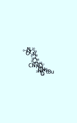 Cc1nc2c(o1)CN(Cc1ccc(C#N)c(-c3ccc4c(n3)n(C)c(=O)n4CC(C)(C)C)c1)CC2